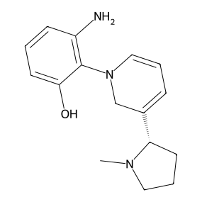 CN1CCC[C@H]1C1=CC=CN(c2c(N)cccc2O)C1